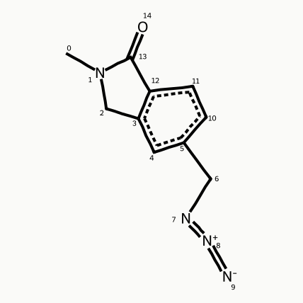 CN1Cc2cc(CN=[N+]=[N-])ccc2C1=O